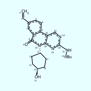 C=Cc1ccc2c(c1)c(=O)n([C@H]1CC[C@H](O)CC1)c1nc(NCCCC)ncc21